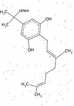 CCCCCCC(C)(C)c1cc(O)c(C/C=C(\C)CCC=C(C)C)c(O)c1